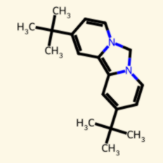 CC(C)(C)C1=CC2=C3C=C(C(C)(C)C)C=CN3CN2C=C1